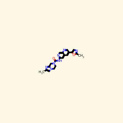 Cc1cn2c(n1)CN(C(=O)Nc1cc3cc(-c4cnc(C)o4)cnc3cn1)CC2